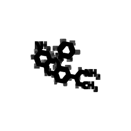 CCC(CN)c1ccc2nc3ccc(N)cc3[n+](-c3ccccc3)c2c1